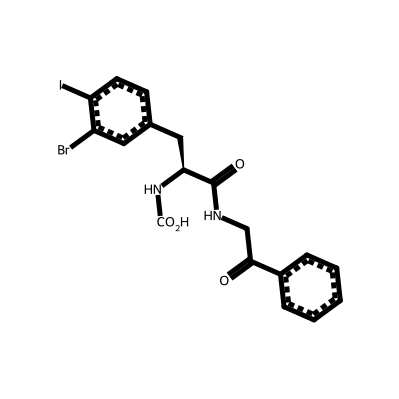 O=C(O)N[C@@H](Cc1ccc(I)c(Br)c1)C(=O)NCC(=O)c1ccccc1